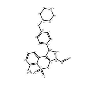 Cc1cccc2c1S(=O)(=O)Cc1c(C=O)nn(-c3ccc(CN4CCOCC4)cc3)c1-2